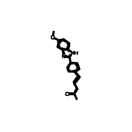 COc1ccc2[nH]c(-c3ccc(C=CCC(C)=O)cc3)nc2c1